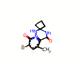 Cc1cc(Br)c(=O)n2c1C(=O)NC1(CCC1)N2